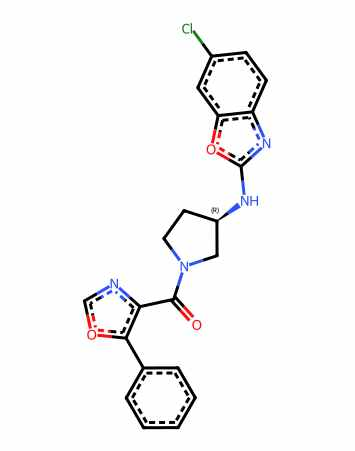 O=C(c1ncoc1-c1ccccc1)N1CC[C@@H](Nc2nc3ccc(Cl)cc3o2)C1